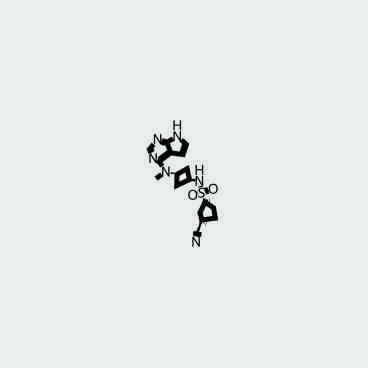 CN(c1ncnc2[nH]ccc12)[C@H]1C[C@H](NS(=O)(=O)[C@@H]2CC[C@@H](C#N)C2)C1